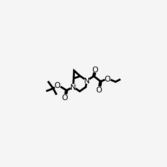 CCOC(=O)C(=O)N1CCN(C(=O)OC(C)(C)C)C2CC21